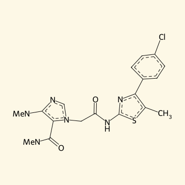 CNC(=O)c1c(NC)ncn1CC(=O)Nc1nc(-c2ccc(Cl)cc2)c(C)s1